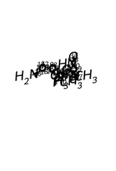 Cc1c(F)c(Oc2cccc(-c3cccc(CN)c3)c2)nc(Oc2cc(N(C)C)ccc2NC=O)c1F